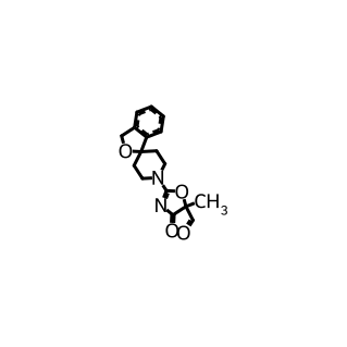 CC1(C=O)OC(N2CCC3(CC2)OCc2ccccc23)=NC1=O